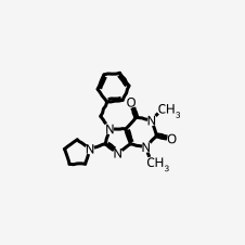 Cn1c(=O)c2c(nc(N3CCCC3)n2Cc2ccccc2)n(C)c1=O